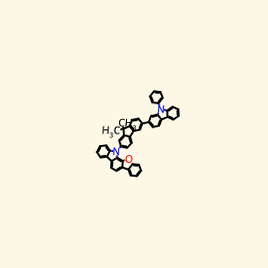 CC1(C)c2ccc(-c3ccc4c5ccccc5n(-c5ccccc5)c4c3)cc2-c2ccc(-n3c4ccccc4c4ccc5c6ccccc6oc5c43)cc21